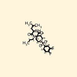 CCCN1C(=O)C(CC(C)C)NC(=O)C12CCN(S(=O)(=O)c1ccc(F)c(F)c1)CC2